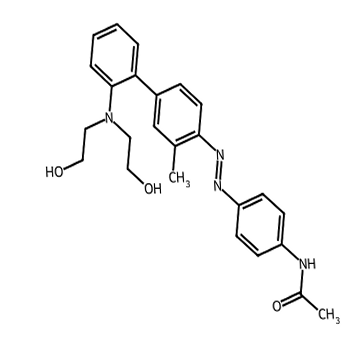 CC(=O)Nc1ccc(/N=N/c2ccc(-c3ccccc3N(CCO)CCO)cc2C)cc1